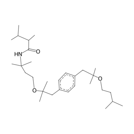 CC(C)CCOC(C)(C)Cc1ccc(CC(C)(C)OCCC(C)(C)NC(=O)C(C)C(C)C)cc1